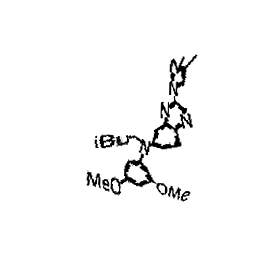 CCC(C)CN(c1cc(OC)cc(OC)c1)c1ccc2ncc(-n3cnc(C)c3)nc2c1